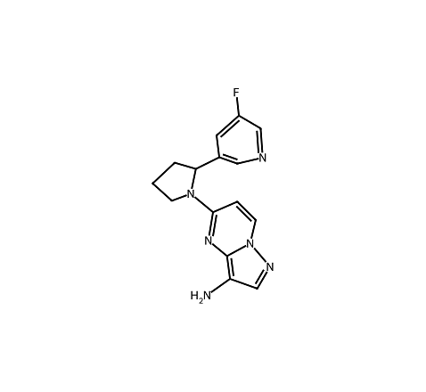 Nc1cnn2ccc(N3CCCC3c3cncc(F)c3)nc12